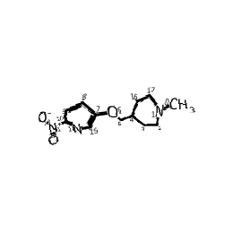 CN1CCC(COc2ccc([N+](=O)[O-])nc2)CC1